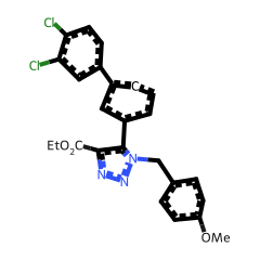 CCOC(=O)c1nnn(Cc2ccc(OC)cc2)c1-c1cccc(-c2ccc(Cl)c(Cl)c2)c1